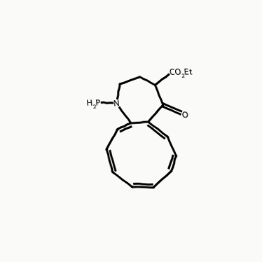 CCOC(=O)C1CCN(P)c2ccccccccc2C1=O